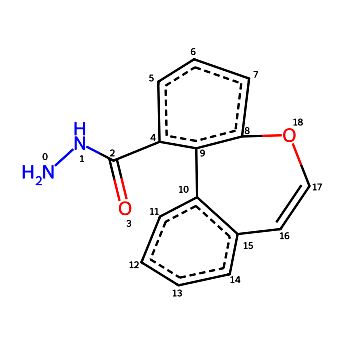 NNC(=O)c1cccc2c1-c1ccccc1C=CO2